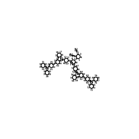 N#Cc1cccc(-c2cc(-c3ccc(-n4c5ccccc5c5cc(-c6ccc(N(c7ccccc7)c7ccccc7)cc6)ccc54)cc3)nc(-c3ccc(-n4c5ccccc5c5cc(-c6ccc(N(c7ccccc7)c7ccccc7)cc6)ccc54)cc3)c2)c1C#N